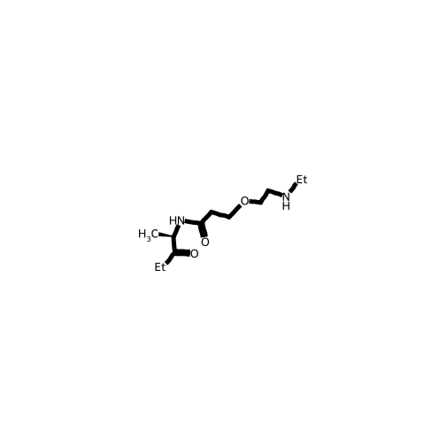 CCNCCOCCC(=O)N[C@H](C)C(=O)CC